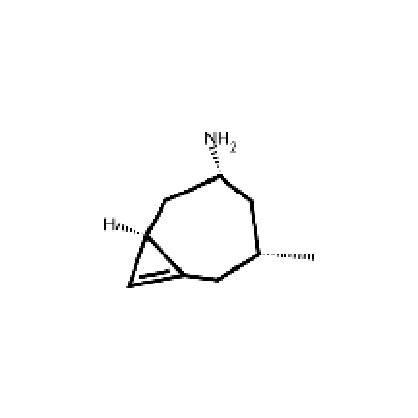 C[C@@H]1CC2=C[C@H]2C[C@H](N)C1